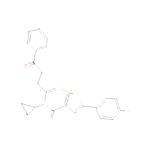 O=C(CCc1nc2sc(-c3ccc(F)cc3)cc2c(=O)n1C1CC1)c1ccccc1